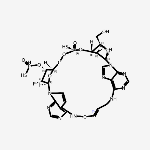 O=[PH](S)O[C@H]1[C@@H](F)[C@H]2O[C@@H]1CO[P@@](=O)(S)O[C@H]1[C@@H](F)[C@@H](O[C@@H]1CO)n1cnc3c(ncnc31)NC/C=C/CNc1ncnc3c1ccn32